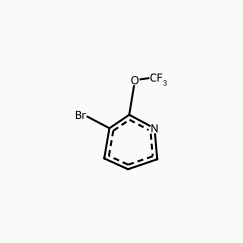 FC(F)(F)Oc1ncccc1Br